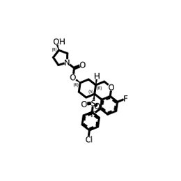 O=C(O[C@@H]1CC[C@@]2(S(=O)(=O)c3ccc(Cl)cc3)c3c(F)ccc(F)c3OC[C@H]2C1)N1CC[C@@H](O)C1